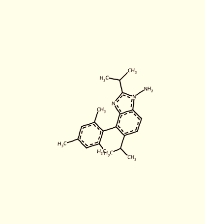 Cc1cc(C)c(-c2c(C(C)C)ccc3c2nc(C(C)C)n3N)c(C)c1